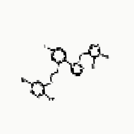 CCn1ncc(Cn2ccnc2-c2ccc(F)cc2CCOc2cc(Br)cnc2N)c1Br